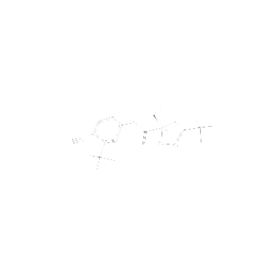 [C-]#[N+]c1ccc(NC(=O)[C@]2(CC)CC(C(F)(F)F)=NN2)cc1C(F)(F)F